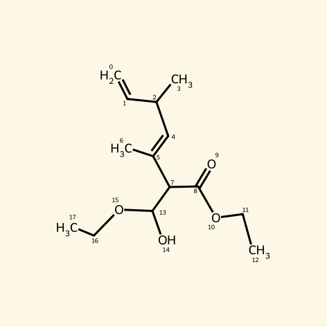 C=CC(C)/C=C(\C)C(C(=O)OCC)C(O)OCC